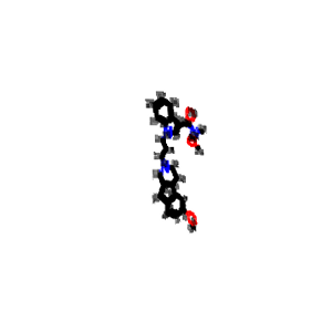 COc1ccc2c(c1)C1=C(C2)CN(CCCn2cc(C(=O)N(C)OC)c3ccccc32)CC1